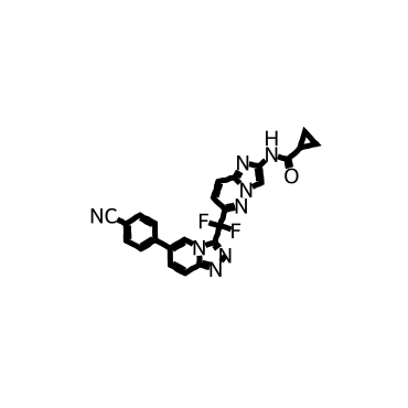 N#Cc1ccc(-c2ccc3nnc(C(F)(F)c4ccc5nc(NC(=O)C6CC6)cn5n4)n3c2)cc1